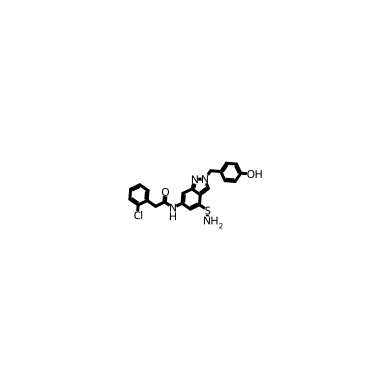 NSc1cc(NC(=O)Cc2ccccc2Cl)cc2nn(Cc3ccc(O)cc3)cc12